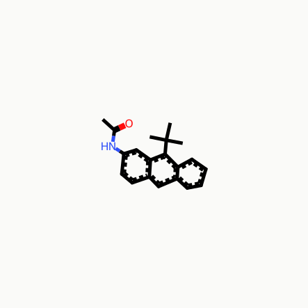 CC(=O)Nc1ccc2cc3ccccc3c(C(C)(C)C)c2c1